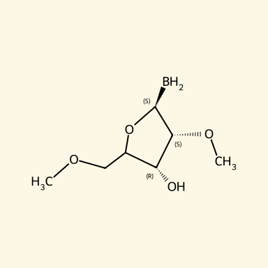 B[C@@H]1OC(COC)[C@@H](O)[C@H]1OC